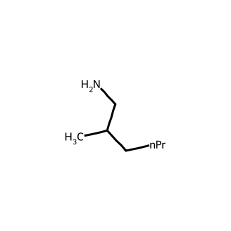 CCCCC(C)CN